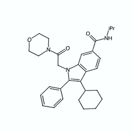 CC(C)NC(=O)c1ccc2c(C3CCCCC3)c(-c3ccccc3)n(CC(=O)N3CCOCC3)c2c1